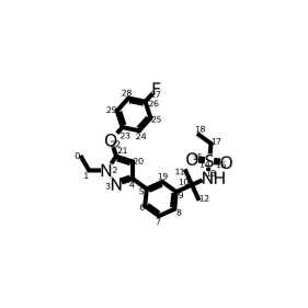 CCn1nc(-c2cccc(C(C)(C)NS(=O)(=O)CC)c2)cc1Oc1ccc(F)cc1